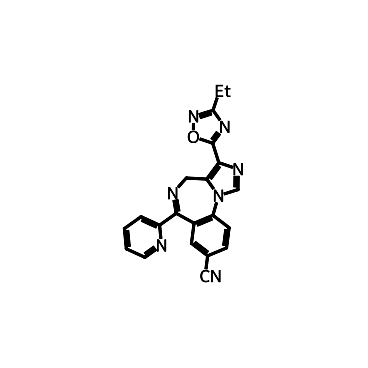 CCc1noc(-c2ncn3c2CN=C(c2ccccn2)c2cc(C#N)ccc2-3)n1